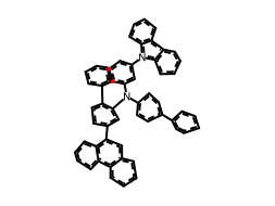 c1ccc(-c2ccc(N(c3cccc(-n4c5ccccc5c5ccccc54)c3)c3cc(-c4cc5ccccc5c5ccccc45)ccc3-c3ccccc3)cc2)cc1